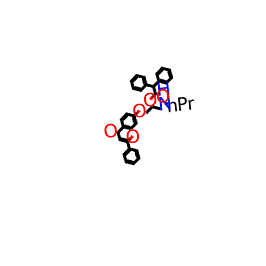 CCCNCC(COc1ccc2c(=O)cc(-c3ccccc3)oc2c1)OC(=O)C(c1ccccc1)c1ccccc1